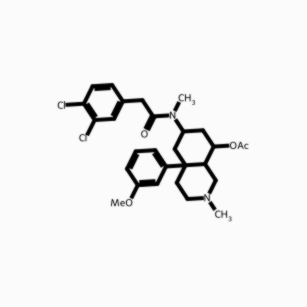 COc1cccc(C23CCN(C)CC2C(OC(C)=O)CC(N(C)C(=O)Cc2ccc(Cl)c(Cl)c2)C3)c1